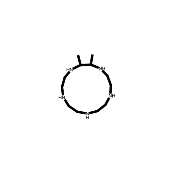 CC1NCCNCCNCCNCCNC1C